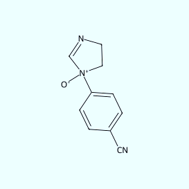 N#Cc1ccc([N+]2([O-])C=NCC2)cc1